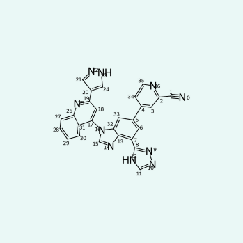 N#Cc1cc(-c2cc(-c3nnc[nH]3)c3ncn(-c4cc(-c5cn[nH]c5)nc5ccccc45)c3c2)ccn1